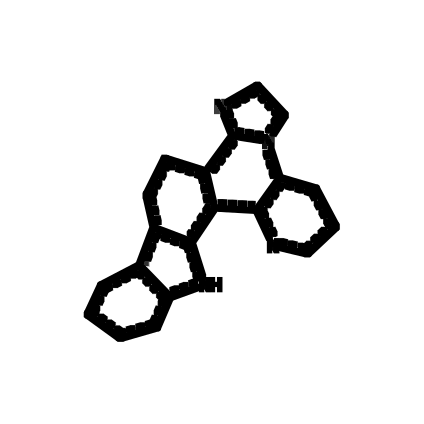 c1ccc2c(c1)[nH]c1c2ccc2c1c1ncccc1n1ccnc21